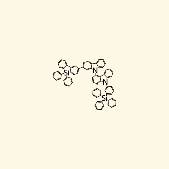 c1ccc([Si](c2ccccc2)(c2ccccc2)c2cccc(-n3c4ccccc4c4c(-n5c6ccccc6c6ccc(-c7ccc8c(c7)-c7ccccc7[Si]8(c7ccccc7)c7ccccc7)cc65)cccc43)c2)cc1